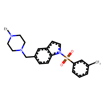 CCN1CCN(Cc2ccc3c(ccn3S(=O)(=O)c3cccc(C(F)(F)F)c3)c2)CC1